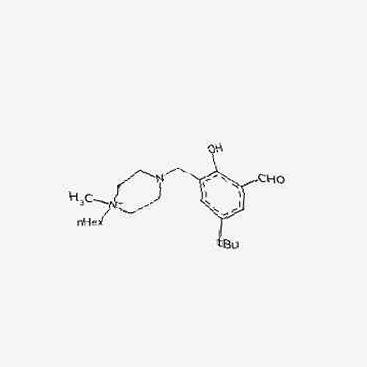 CCCCCC[N+]1(C)CCN(Cc2cc(C(C)(C)C)cc(C=O)c2O)CC1